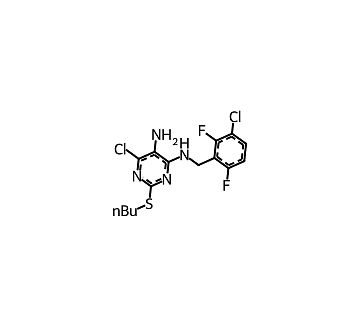 CCCCSc1nc(Cl)c(N)c(NCc2c(F)ccc(Cl)c2F)n1